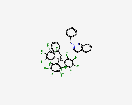 Fc1c(F)c(F)c([B-](Cc2ccccc2)(c2c(F)c(F)c(F)c(F)c2F)c2c(F)c(F)c(F)c(F)c2F)c(F)c1F.c1ccc(C[n+]2ccc3ccccc3c2)cc1